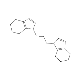 C1=CC(CCCC2C=CC3=C2CCCC3)C2=C1CCCC2